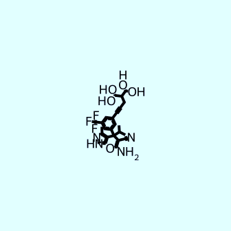 Cc1n[nH]c2c1C(c1cc(C#CCC(C(O)O)C(O)O)cc(C(F)(F)F)c1)(C(C)C)C(C#N)=C(N)O2